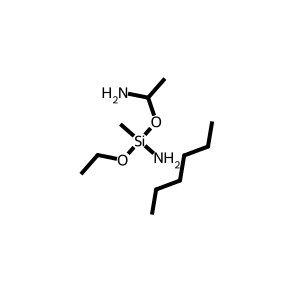 CCCCCC.CCO[Si](C)(N)OC(C)N